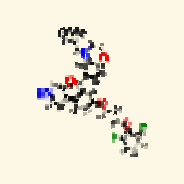 COCCCN1CCOc2ccc(CO[C@H]3CNCC[C@@H]3c3ccc(OCCCOc4c(F)cccc4F)cc3)cc21